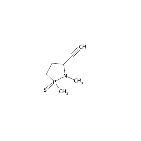 C#CC1CCP(C)(=S)N1C